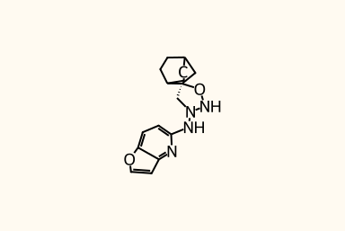 c1cc2nc(NN3C[C@]4(CC5CCC4CC5)ON3)ccc2o1